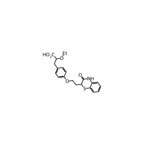 CCOC(Cc1ccc(OCCC2Sc3ccccc3NC2=O)cc1)C(=O)O